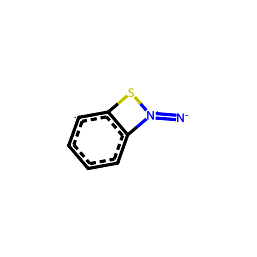 [N-]=[N+]1Sc2[c]cccc21